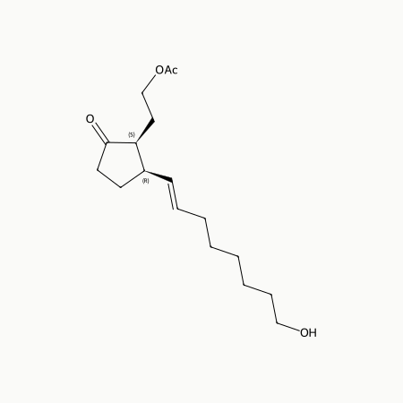 CC(=O)OCC[C@@H]1C(=O)CC[C@@H]1C=CCCCCCCO